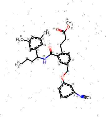 [C-]#[N+]c1cccc(OCc2ccc(CCC(=O)OC)c(C(=O)NC(CCC)c3cc(C)cc(C)c3)c2)c1